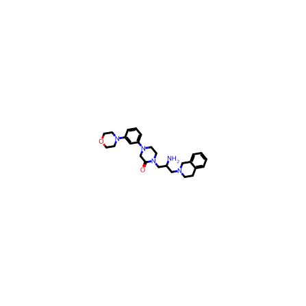 NC(CN1CCc2ccccc2C1)CN1CCN(c2cccc(N3CCOCC3)c2)CC1=O